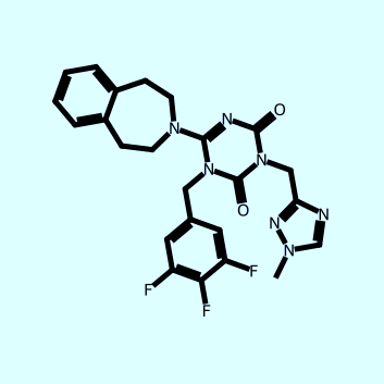 Cn1cnc(Cn2c(=O)nc(N3CCc4ccccc4CC3)n(Cc3cc(F)c(F)c(F)c3)c2=O)n1